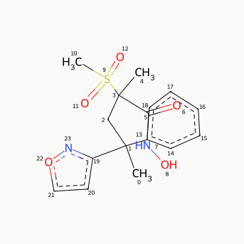 CC(CC(C)(C(=O)NO)S(C)(=O)=O)(c1ccccc1)c1ccon1